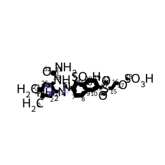 C=C/C=C(/N=N/c1ccc2cc(S(=O)(=O)CCOS(=O)(=O)O)ccc2c1S(=O)(=O)O)C(=C/C(=C)N)\NC(N)=O